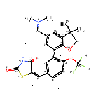 CN(C)Cc1cc(-c2cc(C=C3SC(=O)NC3=O)ccc2OC(F)(F)F)c2c(c1)C(C)(C)CO2